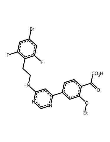 CCOc1cc(-c2cc(NCCc3c(F)cc(Br)cc3F)ncn2)ccc1C(=O)C(=O)O